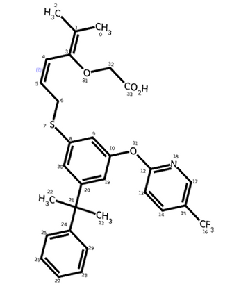 CC(C)=C(/C=C\CSc1cc(Oc2ccc(C(F)(F)F)cn2)cc(C(C)(C)c2ccccc2)c1)OCC(=O)O